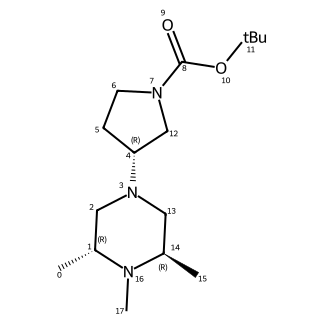 C[C@@H]1CN([C@@H]2CCN(C(=O)OC(C)(C)C)C2)C[C@@H](C)N1C